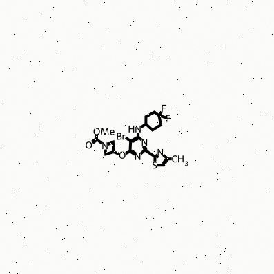 COC(=O)N1CC(Oc2nc(-c3nc(C)cs3)nc(NC3CCC(F)(F)CC3)c2Br)C1